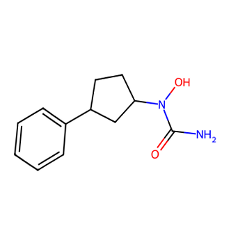 NC(=O)N(O)C1CCC(c2ccccc2)C1